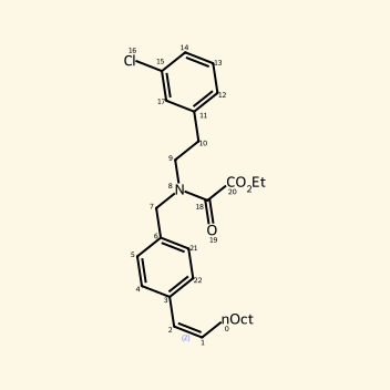 CCCCCCCC/C=C\c1ccc(CN(CCc2cccc(Cl)c2)C(=O)C(=O)OCC)cc1